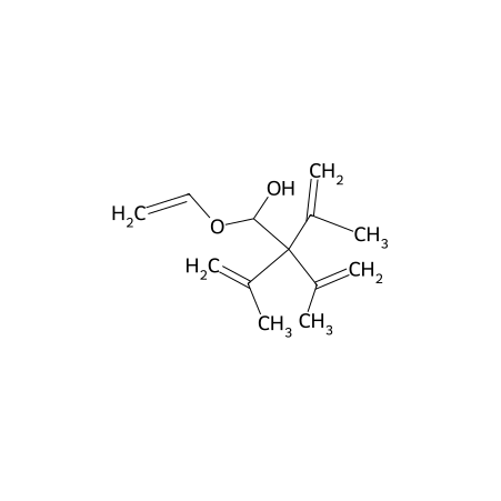 C=COC(O)C(C(=C)C)(C(=C)C)C(=C)C